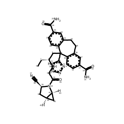 CC[C@H](CC1(c2nnn[nH]2)c2ccc(C(N)=O)cc2CCc2cc(C(N)=O)ccc21)NCC(=O)N1[C@H](C#N)C[C@@H]2C[C@@H]21